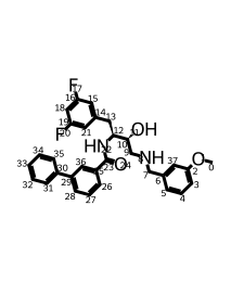 COc1cccc(CNC[C@@H](O)[C@H](Cc2cc(F)cc(F)c2)NC(=O)c2cccc(-c3ccccc3)c2)c1